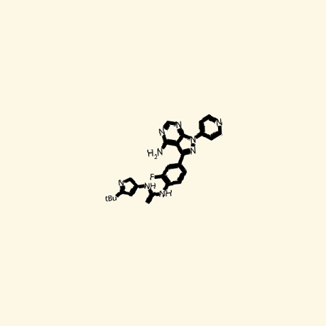 C=C(NC1=CC(C(C)(C)C)=NC1)Nc1ccc(-c2nn(-c3ccncc3)c3ncnc(N)c23)cc1F